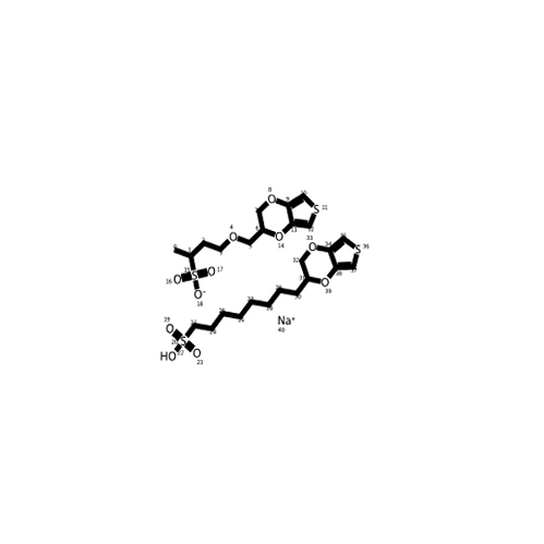 CC(CCOCC1COc2cscc2O1)S(=O)(=O)[O-].O=S(=O)(O)CCCCCCCCC1COc2cscc2O1.[Na+]